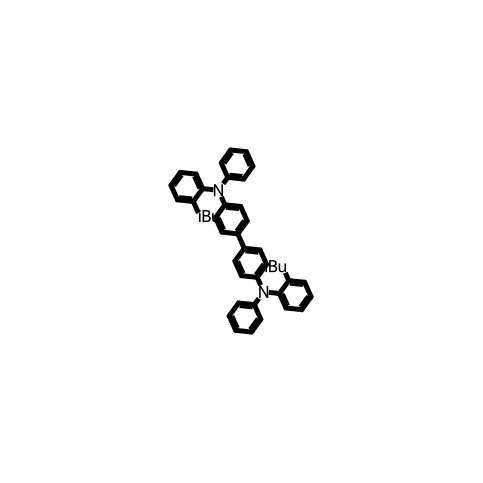 CCC(C)c1ccccc1N(c1ccccc1)c1ccc(-c2ccc(N(c3ccccc3)c3ccccc3C(C)CC)cc2)cc1